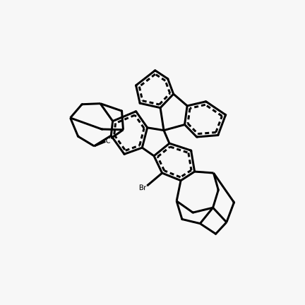 Brc1c2c(cc3c1C1CC4CC5CC3CC54C1)C1(c3ccccc3-c3ccccc31)c1cc3c(cc1-2)C1CC2CC(C1)CC3C2